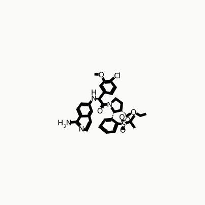 CCOC(=O)[C@H]1CCN(C(=O)[C@@H](Nc2ccc3c(N)nccc3c2)c2ccc(Cl)c(OC)c2)[C@H]1c1ccccc1S(=O)(=O)C(C)C